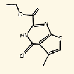 C=C(OCC)c1nc2scc(C)c2c(=O)[nH]1